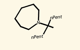 CCCCCC(C)(CCCCC)N1CCCCCC1